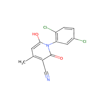 Cc1cc(O)n(-c2cc(Cl)ccc2Cl)c(=O)c1C#N